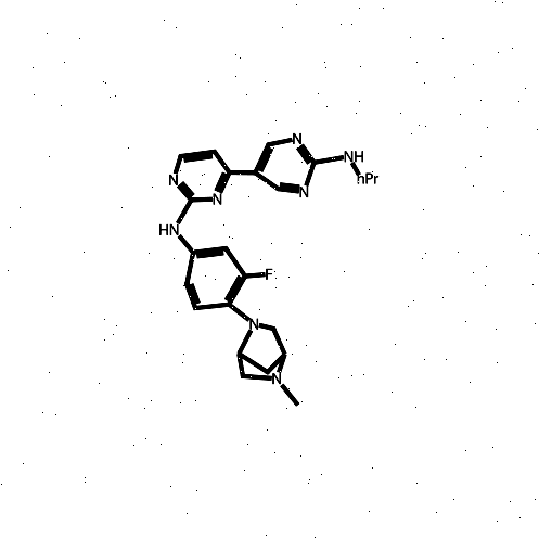 CCCNc1ncc(-c2ccnc(Nc3ccc(N4CC5CC4CN5C)c(F)c3)n2)cn1